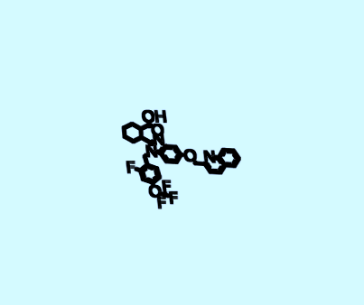 O=C(O)C1CCCCC1c1nc2cc(OCc3ccc4ccccc4n3)ccc2n1Cc1ccc(OC(F)(F)F)cc1F